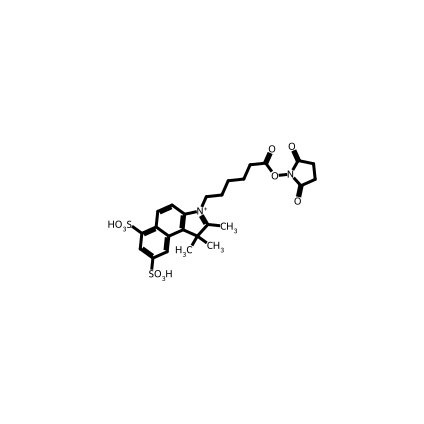 CC1=[N+](CCCCCC(=O)ON2C(=O)CCC2=O)c2ccc3c(S(=O)(=O)O)cc(S(=O)(=O)O)cc3c2C1(C)C